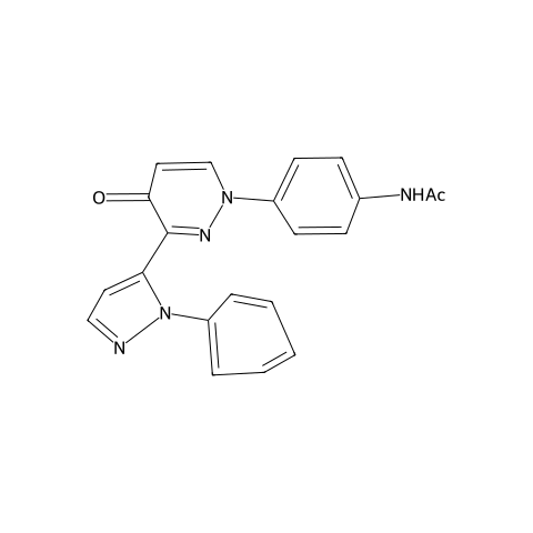 CC(=O)Nc1ccc(-n2ccc(=O)c(-c3ccnn3-c3ccccc3)n2)cc1